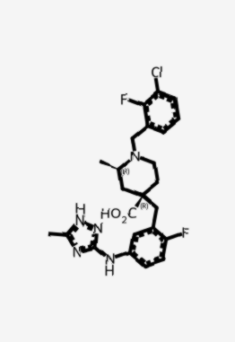 Cc1nc(Nc2ccc(F)c(C[C@@]3(C(=O)O)CCN(Cc4cccc(Cl)c4F)[C@H](C)C3)c2)n[nH]1